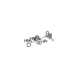 CC(C)N[C@@H](Cc1c[nH]c2ccccc12)C(=O)N[C@H](CCCNC(N)=O)C(=O)C(C)C